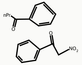 CCCC(=O)c1ccccc1.O=C(C[N+](=O)[O-])c1ccccc1